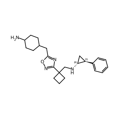 NC1CCC(Cc2nc(C3(CN[C@@H]4C[C@H]4c4ccccc4)CCC3)no2)CC1